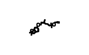 C#CCOC(C)(C)CCCC(C)=CCOc1ccc2c(c1)OC(C)(C)C2